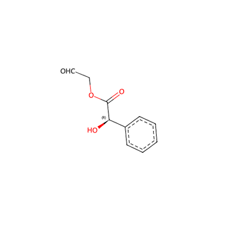 O=CCOC(=O)[C@H](O)c1ccccc1